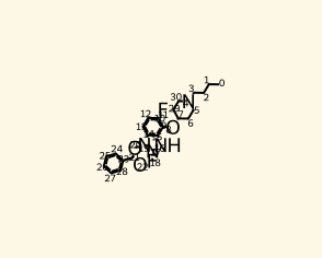 CCCCN1CCC(Oc2c(F)ccc3c2NN(F)N3OC(=O)c2ccccc2)CC1